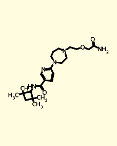 CC1(C)CC(C)(C)C1NC(=O)c1ccc(N2CCCN(CCOCC(N)=O)CC2)nc1